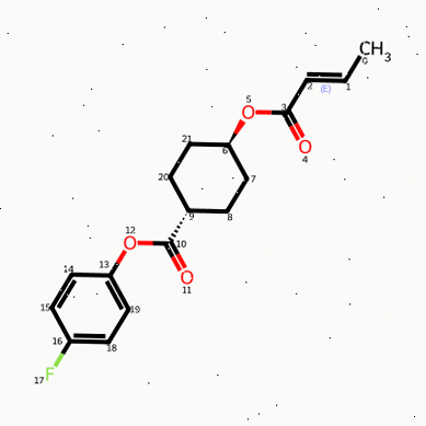 C/C=C/C(=O)O[C@H]1CC[C@H](C(=O)Oc2ccc(F)cc2)CC1